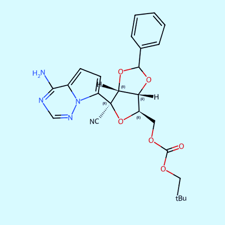 CC(C)(C)COC(=O)OC[C@H]1O[C@@](C#N)(c2ccc3c(N)ncnn23)[C@@H]2OC(c3ccccc3)O[C@@H]21